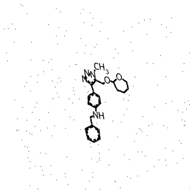 Cn1nnc(-c2ccc(NCc3ccccc3)cc2)c1COC1CCCCO1